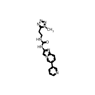 Cn1nnnc1CCNC(=O)Nc1cn2cc(-c3cccnc3)ccc2n1